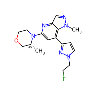 C[C@@H]1COCCN1c1cc(-c2ccn(CCF)n2)c2c(cnn2C)n1